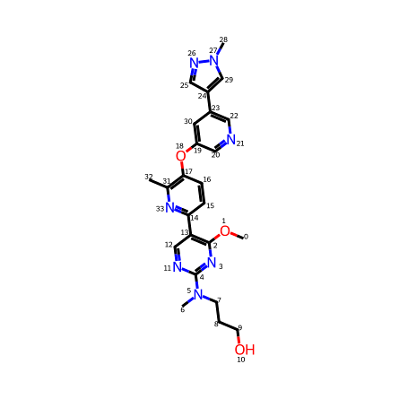 COc1nc(N(C)CCCO)ncc1-c1ccc(Oc2cncc(-c3cnn(C)c3)c2)c(C)n1